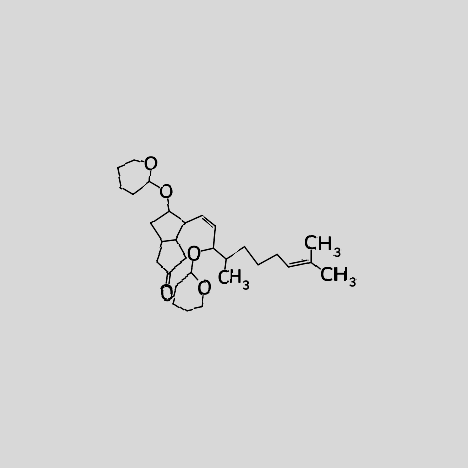 CC(C)=CCCCC(C)C(/C=C\C1C(OC2CCCCO2)CC2CC(=O)CC21)OC1CCCCO1